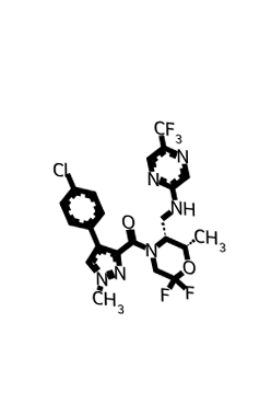 C[C@@H]1OC(F)(F)CN(C(=O)c2nn(C)cc2-c2ccc(Cl)cc2)[C@@H]1CNc1cnc(C(F)(F)F)cn1